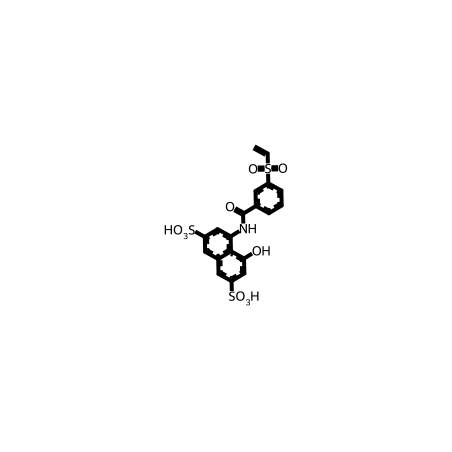 C=CS(=O)(=O)c1cccc(C(=O)Nc2cc(S(=O)(=O)O)cc3cc(S(=O)(=O)O)cc(O)c23)c1